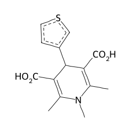 CC1=C(C(=O)O)C(c2ccsc2)C(C(=O)O)=C(C)N1C